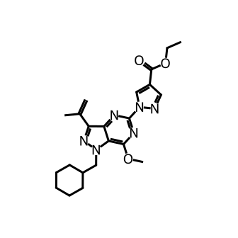 C=C(C)c1nn(CC2CCCCC2)c2c(OC)nc(-n3cc(C(=O)OCC)cn3)nc12